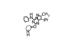 Cc1nn2c(Nc3ccccc3)nc(O[C@@H]3CCCNC3)nc2c1C(C)C